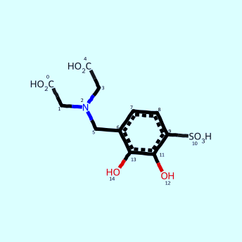 O=C(O)CN(CC(=O)O)Cc1ccc(S(=O)(=O)O)c(O)c1O